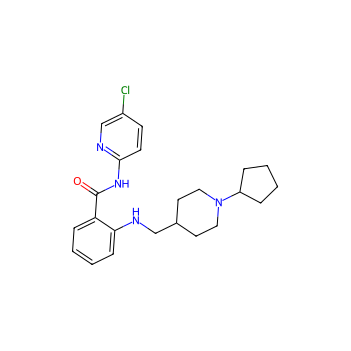 O=C(Nc1ccc(Cl)cn1)c1ccccc1NCC1CCN(C2CCCC2)CC1